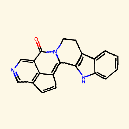 O=c1c2cncc3c2c(c2n1CCc1c-2[nH]c2ccccc12)C=C3